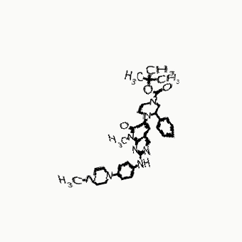 CN1CCN(c2ccc(Nc3ncc4cc(N5CCN(C(=O)OC(C)(C)C)CC5c5ccccc5)c(=O)n(C)c4n3)cc2)CC1